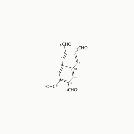 O=[C]c1cc2cc([C]=O)c([C]=O)cc2cc1[C]=O